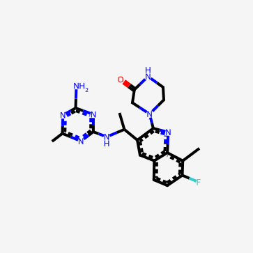 Cc1nc(N)nc(NC(C)c2cc3ccc(F)c(C)c3nc2N2CCNC(=O)C2)n1